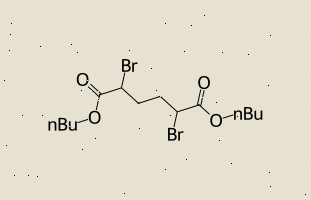 CCCCOC(=O)C(Br)CCC(Br)C(=O)OCCCC